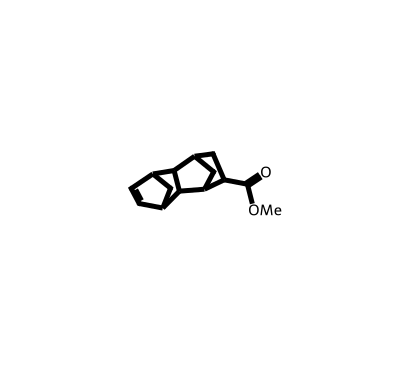 COC(=O)C1CC2CC1C1C3C=CC(C3)C21